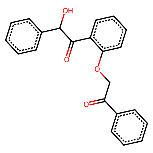 O=C(COc1ccccc1C(=O)C(O)c1ccccc1)c1ccccc1